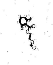 O=COCCOC(=O)c1c(F)cccc1F